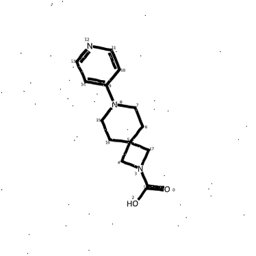 O=C(O)N1CC2(CCN(c3ccncc3)CC2)C1